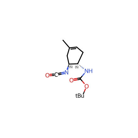 CC1=CC[C@H](NC(=O)OC(C)(C)C)[C@@H](N=C=O)C1